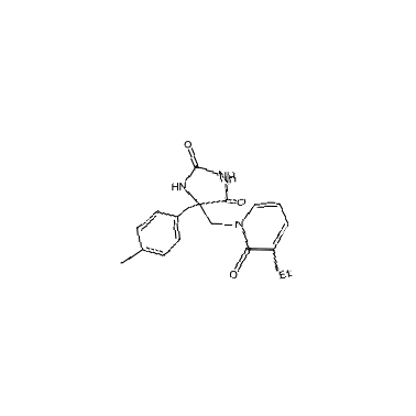 CCc1cccn(CC2(c3ccc(C)cc3)NC(=O)NC2=O)c1=O